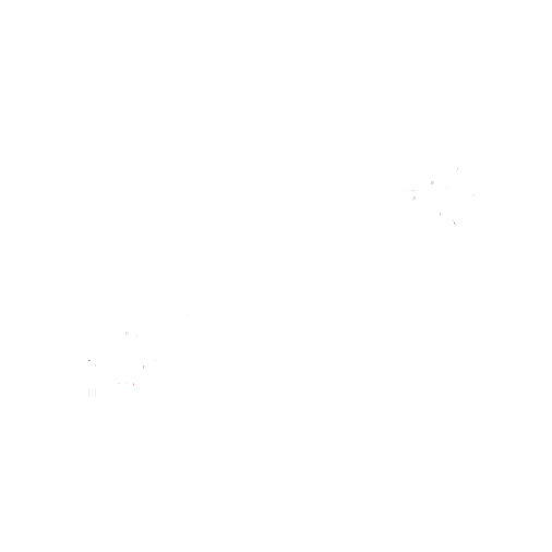 OC[C@H]1O[C@@H](OCCOCCOCCOCCOCCOCCO[C@@H]2O[C@H](CO)[C@@H](O)[C@H](O)[C@H]2O)[C@H](O)[C@@H](O)[C@@H]1O